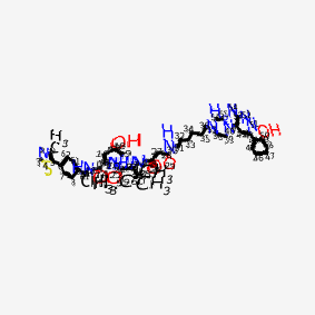 Cc1ncsc1-c1ccc([C@H](C)NC(=O)[C@@H]2C[C@@H](O)CN2C(=O)[C@@H](NC(=O)CC(=O)NCCCCCCN2CCN(c3cc(-c4ccccc4O)nnc3N)CC2)C(C)(C)C)cc1